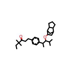 CCC(C)(C)C(=O)CCc1ccc(C(C)C(OC2CC3CC2C2CCCC32)C(C)C)cc1